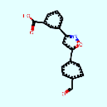 O=Cc1ccc(-c2cc(-c3cccc(C(=O)O)c3)no2)cc1